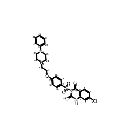 O=c1[nH]c2cc(Cl)ccc2c(=O)n1S(=O)(=O)c1ccc(OCCN2CCN(c3ccccc3)CC2)cc1